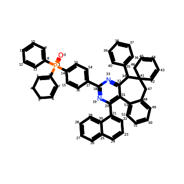 O=P(C1=CCCC=C1)(c1ccccc1)c1ccc(-c2nc(-c3cccc4ccccc34)c3c(n2)C(c2ccccc2)C2(C=CC=CC2)Cc2ccccc2-3)cc1